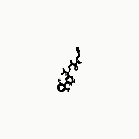 CC(CC[C@H](c1cnnc(-c2c(F)cccc2F)c1)C(C)C)C(=O)N(C)CCC#N